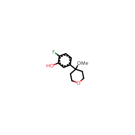 COC1(c2ccc(F)c(O)c2)CCOCC1